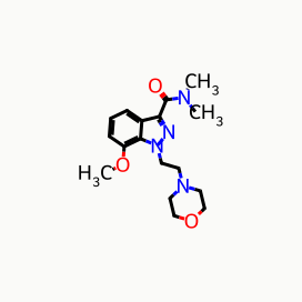 COc1cccc2c(C(=O)N(C)C)nn(CCN3CCOCC3)c12